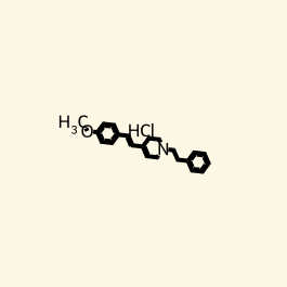 COc1ccc(C=CC2=CCN(CCc3ccccc3)CC2)cc1.Cl